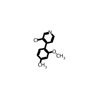 COc1cc(C)ccc1-c1ccncc1Cl